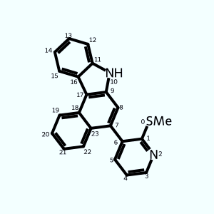 CSc1ncccc1-c1cc2[nH]c3ccccc3c2c2ccccc12